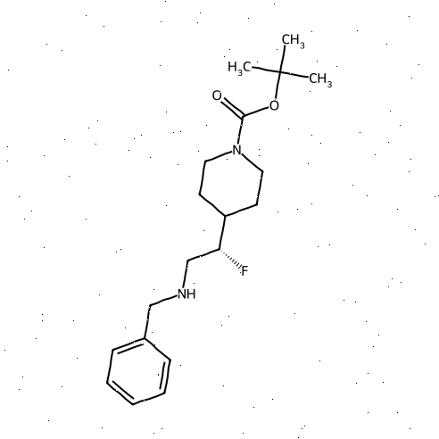 CC(C)(C)OC(=O)N1CCC([C@H](F)CNCc2ccccc2)CC1